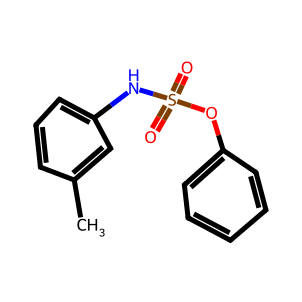 Cc1cccc(NS(=O)(=O)Oc2ccccc2)c1